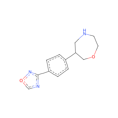 c1nc(-c2ccc(C3CNCCOC3)cc2)no1